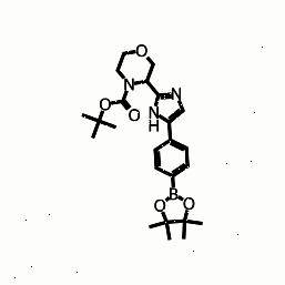 CC(C)(C)OC(=O)N1CCOCC1c1ncc(-c2ccc(B3OC(C)(C)C(C)(C)O3)cc2)[nH]1